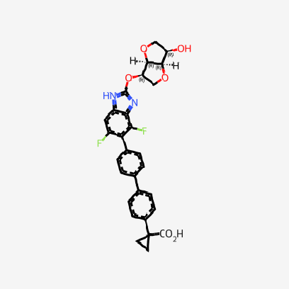 O=C(O)C1(c2ccc(-c3ccc(-c4c(F)cc5[nH]c(O[C@@H]6CO[C@H]7[C@@H]6OC[C@H]7O)nc5c4F)cc3)cc2)CC1